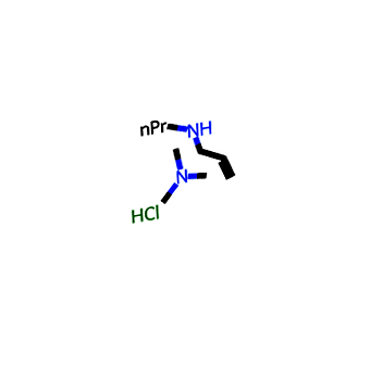 C=CCNCCC.CN(C)C.Cl